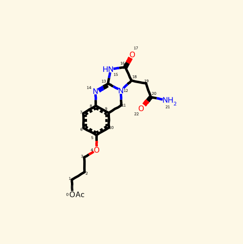 CC(=O)OCCCOc1ccc2c(c1)CN1C(=N2)NC(=O)C1CC(N)=O